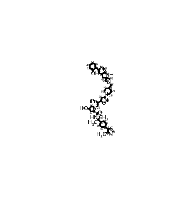 Cc1ncsc1-c1ccc(C(C)(C)NC(=O)[C@@H]2C[C@@H](O)CN2CC(c2cc(N3CCC(CN4CC5(Cc6cc(-c7ccccc7O)nnc6N5)C4)CC3)no2)C(C)C)cc1